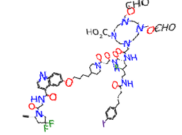 C#C[C@H]1CC(F)(F)CN1C(=O)CNC(=O)c1ccnc2ccc(OCCCCC3CCN(C(=O)CC(=O)NC(=O)[C@H](CC(F)CCNC(=O)CCCc4ccc(I)cc4)NC(=O)CN4CCN(COC=O)CCN(COC=O)CCN(CC(=O)O)CC4)CC3)cc12